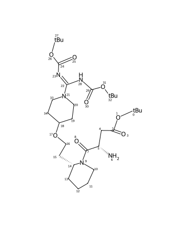 CC(C)(C)OC(=O)C[C@H](N)C(=O)N1CCCC[C@@H]1CCOC1CCN(C(=NC(=O)OC(C)(C)C)NC(=O)OC(C)(C)C)CC1